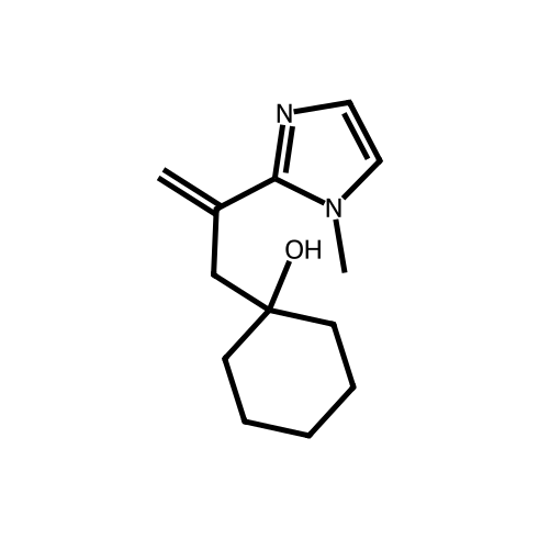 C=C(CC1(O)CCCCC1)c1nccn1C